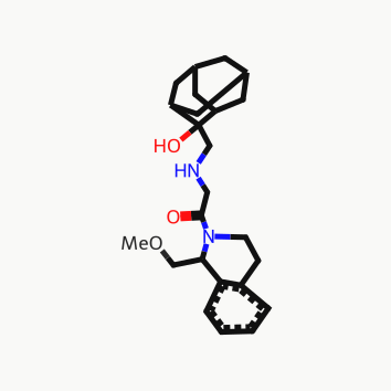 COCC1c2ccccc2CCN1C(=O)CNCC1(O)C2CC3CC(C2)CC1C3